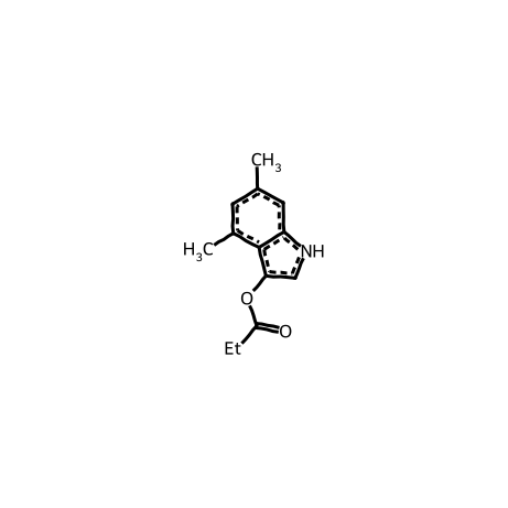 CCC(=O)Oc1c[nH]c2cc(C)cc(C)c12